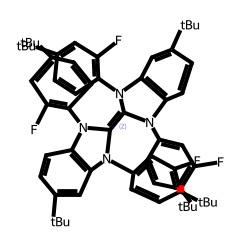 CC(C)(C)c1ccc(N2/C(=C3/N(c4ccc(C(C)(C)C)c(F)c4)c4ccc(C(C)(C)C)cc4N3c3ccc(C(C)(C)C)cc3F)N(c3ccc(C(C)(C)C)c(F)c3)c3cc(C(C)(C)C)ccc32)c(F)c1